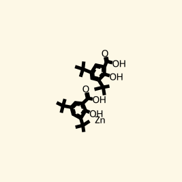 CC(C)(C)c1cc(C(=O)O)c(O)c(C(C)(C)C)c1.CC(C)(C)c1cc(C(=O)O)c(O)c(C(C)(C)C)c1.[Zn]